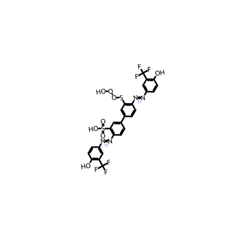 O=S(=O)(O)c1cc(-c2ccc(/N=N/c3ccc(O)c(C(F)(F)F)c3)c(SOOO)c2)ccc1/N=N/c1ccc(O)c(C(F)(F)F)c1